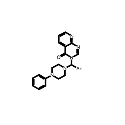 CC(=O)C(N1CCN(c2ccccc2)CC1)n1cnc2ncccc2c1=O